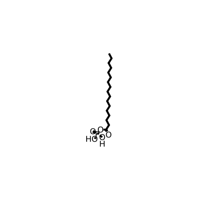 CCCCCCCCCCCCCCCCC(=O)OP(=O)(O)O